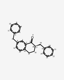 O=C1c2cc(Cc3ccccc3)ccc2CC[C@@H]1Cc1ccccc1